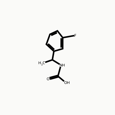 CC(NC(=O)O)c1cccc(F)c1